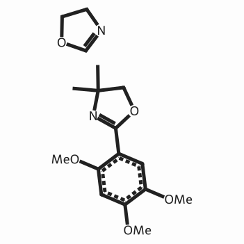 C1=NCCO1.COc1cc(OC)c(C2=NC(C)(C)CO2)cc1OC